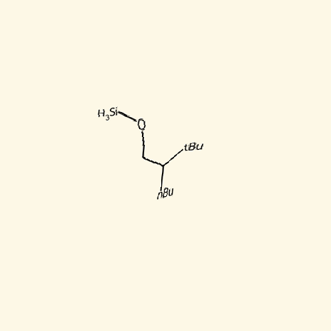 CCCCC(CO[SiH3])C(C)(C)C